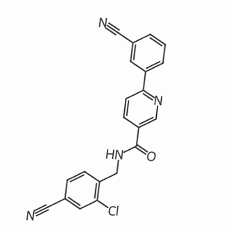 N#Cc1cccc(-c2ccc(C(=O)NCc3ccc(C#N)cc3Cl)cn2)c1